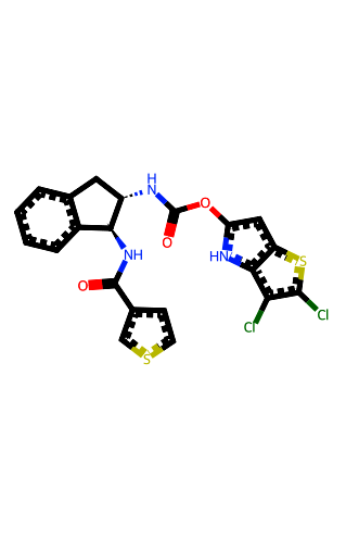 O=C(N[C@H]1Cc2ccccc2[C@@H]1NC(=O)c1ccsc1)Oc1cc2sc(Cl)c(Cl)c2[nH]1